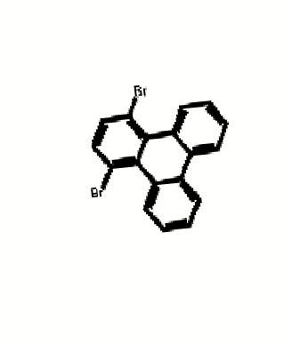 Brc1ccc(Br)c2c3ccccc3c3ccccc3c12